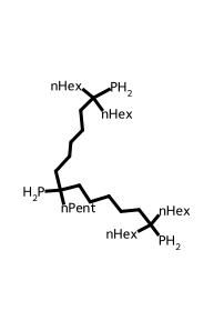 CCCCCCC(P)(CCCCCC)CCCCCC(P)(CCCCC)CCCCCC(P)(CCCCCC)CCCCCC